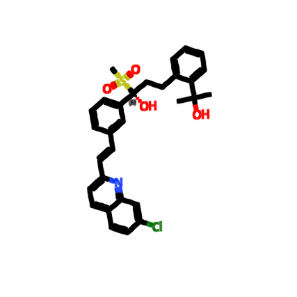 CC(C)(O)c1ccccc1CC[C@@](O)(c1cccc(C=Cc2ccc3ccc(Cl)cc3n2)c1)S(C)(=O)=O